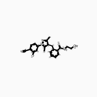 Cc1nn(-c2ccc(C#N)c(Cl)c2)c(C)c1Cc1ccccc1C(=O)NCCO